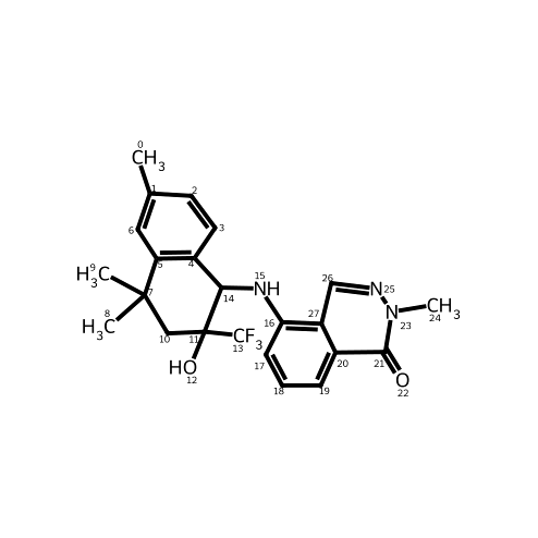 Cc1ccc2c(c1)C(C)(C)CC(O)(C(F)(F)F)C2Nc1cccc2c(=O)n(C)ncc12